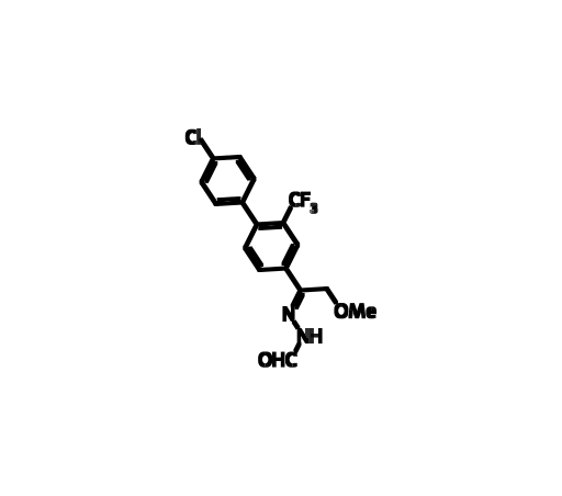 COC/C(=N\NC=O)c1ccc(-c2ccc(Cl)cc2)c(C(F)(F)F)c1